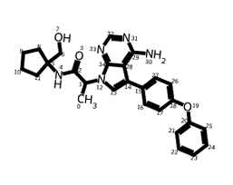 CC(C(=O)NC1(CO)CCCC1)n1cc(-c2ccc(Oc3ccccc3)cc2)c2c(N)ncnc21